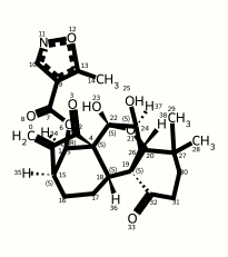 C=C1C(=O)[C@]23[C@H](OC(=O)c4cnoc4C)[C@H]1CC[C@H]2[C@@]12CO[C@]3(O)[C@@H](O)[C@@H]1C(C)(C)CCC2=O